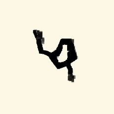 C=Cc1cncc(Br)c1